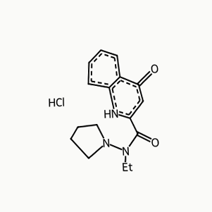 CCN(C(=O)c1cc(=O)c2ccccc2[nH]1)N1CCCC1.Cl